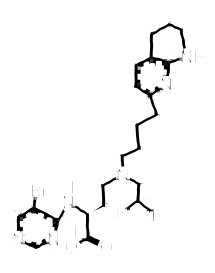 O=C(O)[C@H](CCN(CCCCc1ccc2c(n1)NCCC2)CC(F)F)Nc1ncncc1Br